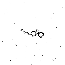 CCC1(N2CCN(CCOC(C)C)CC2)CCOCC1